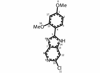 COc1ccc(-c2nc3cnc(Cl)cc3[nH]2)c(OC)c1